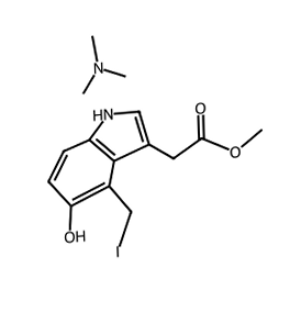 CN(C)C.COC(=O)Cc1c[nH]c2ccc(O)c(CI)c12